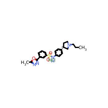 CCCN1CC[C@@H](c2ccc(NS(=O)(=O)c3cccc(-c4nnc(C)o4)c3)cc2)C1.Cl